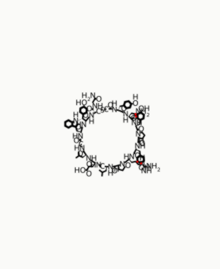 CC(C)C[C@H]1CN[C@@H](CCC(=O)O)C(=O)N[C@@H](CC(C)C)C(=O)NCC(=O)N[C@@H](Cc2c[nH]c3ccccc23)C(=O)N[C@@H]([C@H](C)c2ccc(O)cc2)C(=O)N[C@H](C(=O)NCC(N)=O)CSCC(=O)N[C@H](Cc2ccc(O)cc2)C(=O)N[C@@H](CC(N)=O)C(=O)N[C@@H](Cc2ccc(O)cc2)C(=O)N2CCC[C@H]2C(=O)N[C@@H](Cc2ccc(O)cc2)C(=O)N[C@@H](CCCNC(=N)N)C(=O)N2CCC[C@H]2C(=O)N1